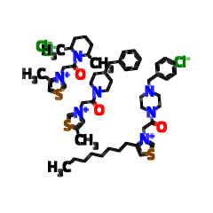 CCCCCCCCc1csc[n+]1CC(=O)N1CCN(Cc2ccccc2)CC1.Cc1c[n+](CC(=O)N2CCC(Cc3ccccc3)CC2)cs1.Cc1csc[n+]1CC(=O)N1C(C)CCCC1C.[Cl-].[Cl-].[Cl-]